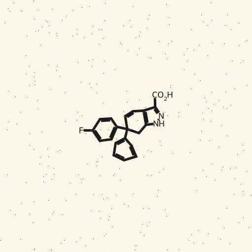 O=C(O)c1n[nH]c2c1C=CC(c1ccccc1)(c1ccc(F)cc1)C2